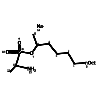 CCCCCCCCCCCCC(C)OS(=O)(=O)C(C)N.[Na]